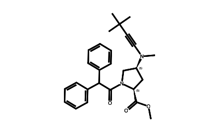 COC(=O)[C@@H]1C[C@H](N(C)C#CC(C)(C)C)CN1C(=O)C(c1ccccc1)c1ccccc1